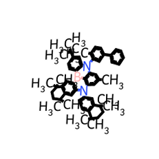 Cc1cc2c3c(c1)N(c1cc(-c4ccccc4)ccc1C)c1cc(C(C)(C)C)ccc1B3c1cc3c(cc1N2c1ccc2c(c1)C(C)(C)CCC2(C)C)C(C)(C)CCC3(C)C